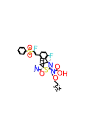 CN(C)C(=O)[C@]12C[C@H]1[C@@](C)(c1cc(/C=C(\F)S(=O)(=O)c3ccccc3)ccc1F)N=C(N(COCC[Si](C)(C)C)C(=O)O)S2